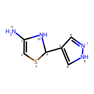 NC1=CSC(c2cn[nH]c2)N1